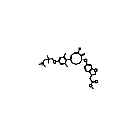 C=C1/C(F)=C\C=C(\c2c(C)cc(OCC(C)(C)CN(C)C)cc2C)CCC[C@H]1Oc1ccc2c(c1)OC[C@H]2CC(=O)OC